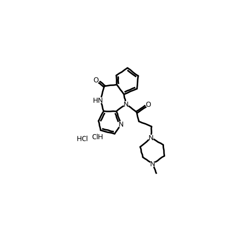 CN1CCN(CCC(=O)N2c3ccccc3C(=O)Nc3cccnc32)CC1.Cl.Cl